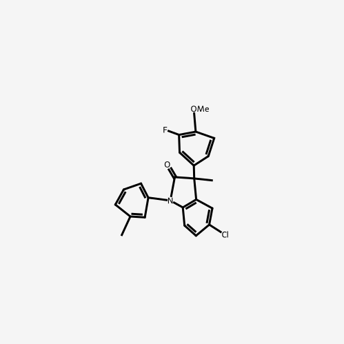 COc1ccc(C2(C)C(=O)N(c3cccc(C)c3)c3ccc(Cl)cc32)cc1F